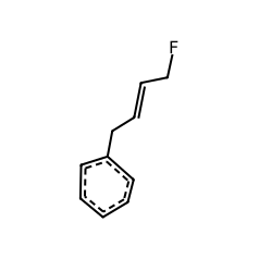 FCC=CCc1ccccc1